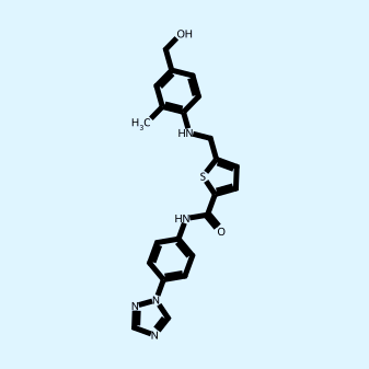 Cc1cc(CO)ccc1NCc1ccc(C(=O)Nc2ccc(-n3cncn3)cc2)s1